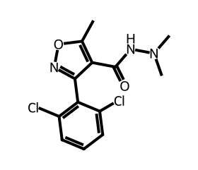 Cc1onc(-c2c(Cl)cccc2Cl)c1C(=O)NN(C)C